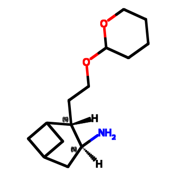 N[C@H]1CC2CC(C2)[C@@H]1CCOC1CCCCO1